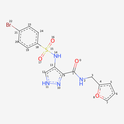 O=C(NCc1ccco1)c1n[nH]cc1NS(=O)(=O)c1ccc(Br)cc1